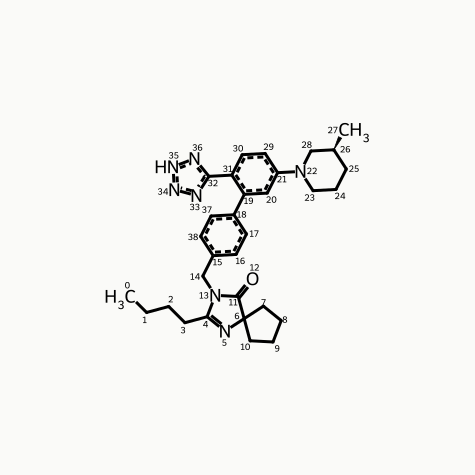 CCCCC1=NC2(CCCC2)C(=O)N1Cc1ccc(-c2cc(N3CCC[C@H](C)C3)ccc2-c2nn[nH]n2)cc1